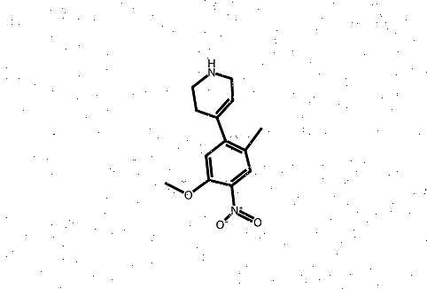 COc1cc(C2=CCNCC2)c(C)cc1[N+](=O)[O-]